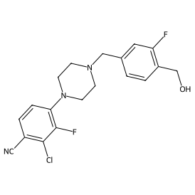 N#Cc1ccc(N2CCN(Cc3ccc(CO)c(F)c3)CC2)c(F)c1Cl